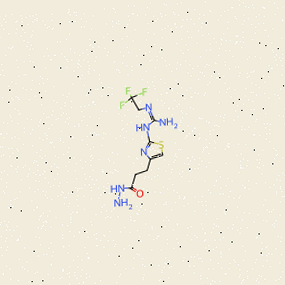 NNC(=O)CCc1csc(N/C(N)=N\CC(F)(F)F)n1